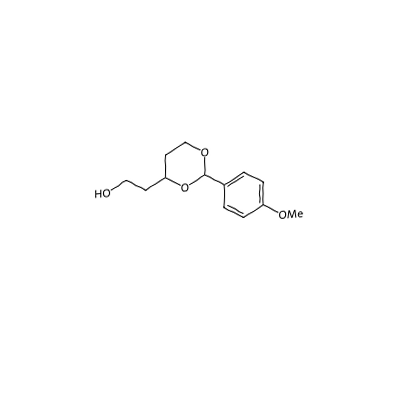 COc1ccc(C2OCCC(CCO)O2)cc1